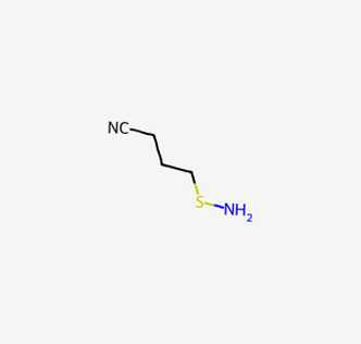 N#CCCCSN